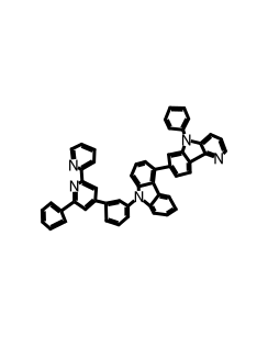 c1ccc(-c2cc(-c3cccc(-n4c5ccccc5c5c(-c6ccc7c8ncccc8n(-c8ccccc8)c7c6)cccc54)c3)cc(-c3ccccn3)n2)cc1